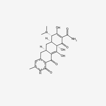 Cc1cc2c(c(=O)[nH]1)C(=O)C1=C(O)[C@]3(O)C(=O)C(C(N)=O)=C(O)[C@@H](N(C)C)[C@@H]3C[C@@H]1C2